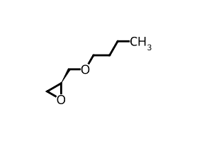 CCCCOC[C@@H]1CO1